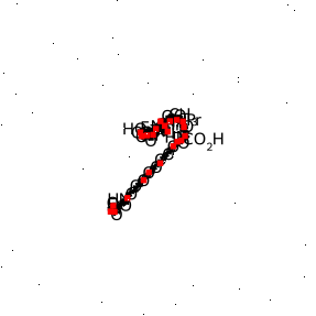 CC[C@@]1(O)C(=O)OCc2c1cc1n(c2=O)Cc2c-1nc1ccc(NC(=O)C(C)NC(=O)C(NC(=O)CCC(NC(=O)CCOCCOCCOCCOCCOCCOCCOCCOCCNC(=O)CCN3C(=O)C=CC3=O)C(=O)O)C(C)C)c3c1c2CCC3